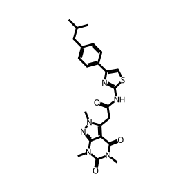 CC(C)Cc1ccc(-c2csc(NC(=O)Cc3c4c(=O)n(C)c(=O)n(C)c4nn3C)n2)cc1